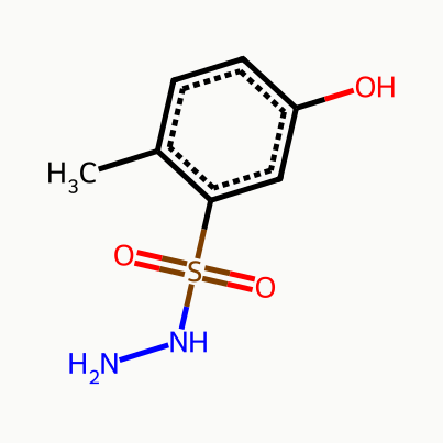 Cc1ccc(O)cc1S(=O)(=O)NN